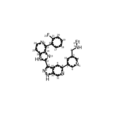 CCNCc1cncc(-c2cc3c(-c4nc5c(-c6ccccc6F)nccc5[nH]4)n[nH]c3cn2)c1